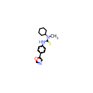 CN(C(=S)Nc1ccc(-c2cnco2)cc1)C1CCCCC1